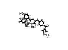 CC(C)(C)OC(=O)N(CC1CCN(C(=O)C2CN(C(=O)O)C2)CC1)CC(O[Si](C)(C)C(C)(C)C)c1ccc(O)c2[nH]c(=O)ccc12